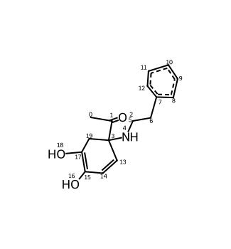 CC(=O)C1(NCCc2ccccc2)C=CC(O)=C(O)C1